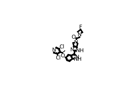 C[C@@H](Oc1ccc2[nH]nc(-c3nc4c([nH]3)CN(C(=O)CN3CC(F)C3)C4)c2c1)c1c(Cl)cncc1Cl